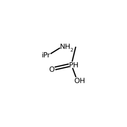 CC(C)N.C[PH](=O)O